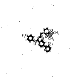 CS(=O)(=O)C1(S(C)(=O)=O)CN(Cc2nc(Nc3ccc(C(F)(F)F)cc3)c3ncc(-c4ncccc4C(F)(F)F)cc3n2)CCO1